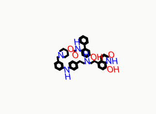 O=C(Nc1ccccc1-c1ccccc1)OC1CCN(Cc2cccc(Nc3ccc(CCNCC(O)c4ccc(O)c5[nH]c(=O)ccc45)cc3)c2)CC1